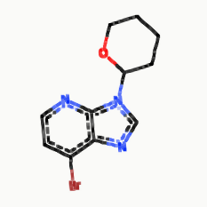 Brc1ccnc2c1ncn2C1CCCCO1